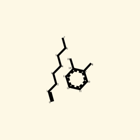 C=CCCCCCC.Cc1ccccc1C